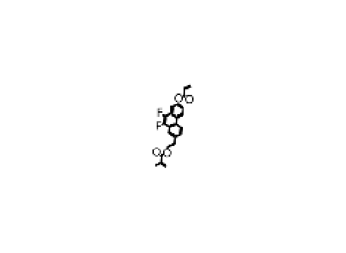 C=CC(=O)Oc1ccc2c(c1)c(F)c(F)c1cc(CCOC(=O)C(=C)C)ccc12